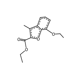 CCOC(=O)c1oc2c(OCC)cccc2c1C